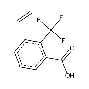 C=C.O=C(O)c1ccccc1C(F)(F)F